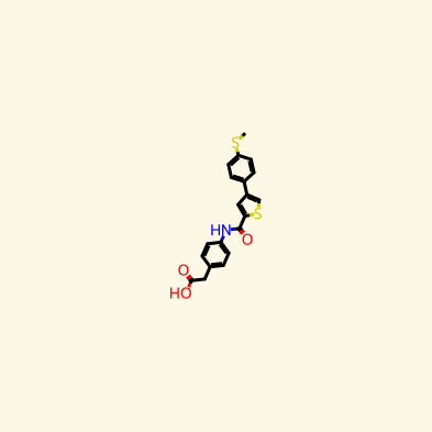 CSc1ccc(-c2csc(C(=O)Nc3ccc(CC(=O)O)cc3)c2)cc1